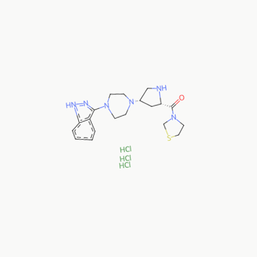 Cl.Cl.Cl.O=C([C@@H]1C[C@H](N2CCN(c3n[nH]c4ccccc34)CC2)CN1)N1CCSC1